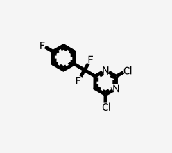 Fc1ccc(C(F)(F)c2cc(Cl)nc(Cl)n2)cc1